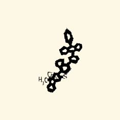 CC1(C)c2ccccc2-c2cc3sc4cc(-c5cccc(-c6c7ccccc7c(-c7ccccc7)c7ccccc67)c5)c5ccccc5c4c3cc21